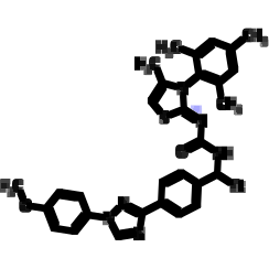 CCC(NC(=O)/N=c1\scc(C)n1-c1c(C)cc(C)cc1C)c1ccc(-c2ncn(-c3ccc(OC(F)(F)F)cc3)n2)cc1